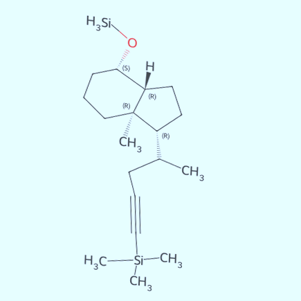 CC(CC#C[Si](C)(C)C)[C@H]1CC[C@H]2[C@@H](O[SiH3])CCC[C@]12C